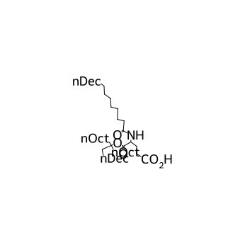 CCCCCCCCCCCCCCCCCC(=O)NC(CCC(=O)O)C(=O)OC(CCCCCCCC)(CCCCCCCC)CCCCCCCCCCC